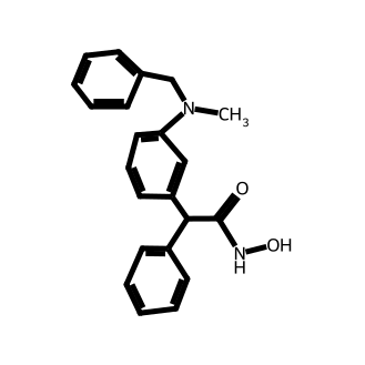 CN(Cc1ccccc1)c1cccc(C(C(=O)NO)c2ccccc2)c1